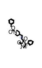 C[C@H]1[C@@H](c2ccccc2)N(C(=O)/C=C/C2CCN(C(=O)OCc3ccccc3)CC2)C(=O)N1C